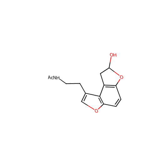 CC(=O)NCCc1coc2ccc3c(c12)CC(O)O3